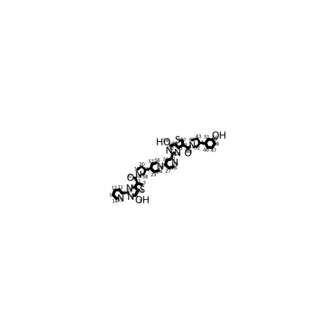 O=C(c1csc2c(O)nc(-c3ccccn3)nc12)N1CCC(c2cc[n+](-c3ccnc(-c4nc(O)c5scc(C(=O)N6CCC(c7cccc(O)c7)C6)c5n4)c3)cc2)C1